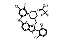 Clc1ccc(Nc2ncc3nc(-c4c(Cl)cccc4Cl)n(CC4CCCNC4)c3n2)cc1Cl.O=C(O)C(F)(F)F